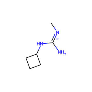 C/N=C(/N)NC1CCC1